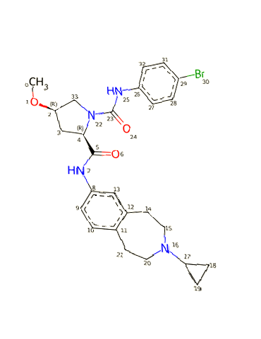 CO[C@@H]1C[C@H](C(=O)Nc2ccc3c(c2)CCN(C2CC2)CC3)N(C(=O)Nc2ccc(Br)cc2)C1